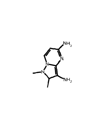 CC1C(N)=C2N=C(N)C=CN2N1C